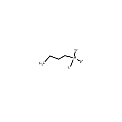 CCC[CH2][Hf]([Br])([Br])[Br]